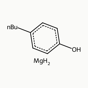 CCCCc1ccc(O)cc1.[MgH2]